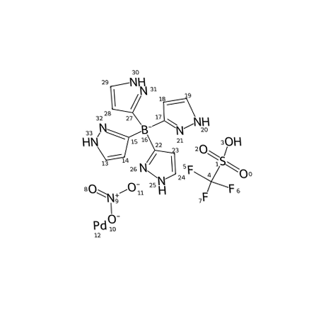 O=S(=O)(O)C(F)(F)F.O=[N+]([O-])[O-].[Pd].c1cc([B-](c2cc[nH]n2)(c2cc[nH]n2)c2cc[nH]n2)n[nH]1